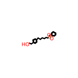 O=S(=O)(CCCCCCc1ccc(CCO)cc1)c1ccccc1